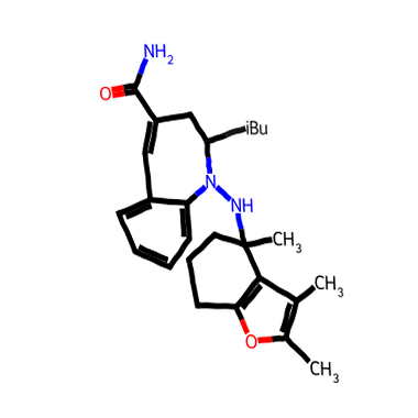 CCC(C)C1CC(C(N)=O)=Cc2ccccc2N1NC1(C)CCCc2oc(C)c(C)c21